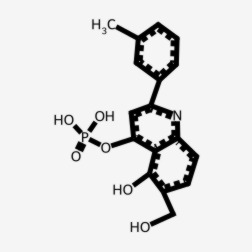 Cc1cccc(-c2cc(OP(=O)(O)O)c3c(O)c(CO)ccc3n2)c1